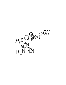 Cc1ccc(S(=O)(=O)NC[C@H]2C[C@@H](O)C2)cc1-c1cnc(N)c(-n2cncn2)n1